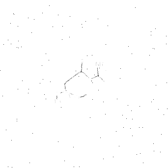 CCO[SiH](CC(CC)NC(C)N)OCC